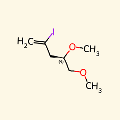 C=C(I)C[C@H](COC)OC